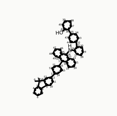 CC1(C)c2ccccc2-c2ccc(-c3ccc(-c4c5ccccc5c(Nc5ccccc5-c5ccc(-c6ccccc6O)cc5)c5ccccc45)cc3)cc21